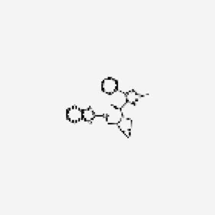 Cn1cc(-c2ccccc2)c(C(=O)N2CC3CC3C2CNc2nc3ccccc3o2)n1